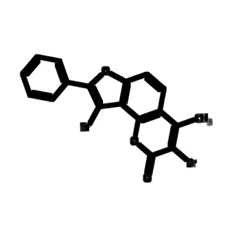 Cc1c(Br)c(=O)oc2c1ccc1oc(-c3ccccc3)c(Br)c12